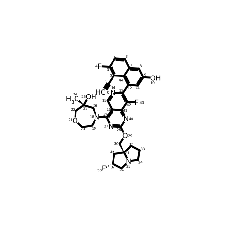 C#Cc1c(F)ccc2cc(O)cc(-c3ncc4c(N5CCOC[C@](C)(O)C5)nc(OC[C@@]56CCCN5C[C@H](F)C6)nc4c3F)c12